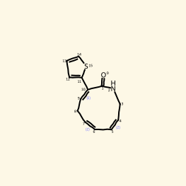 O=C1NC/C=C\C=C/C/C=C\1c1cccs1